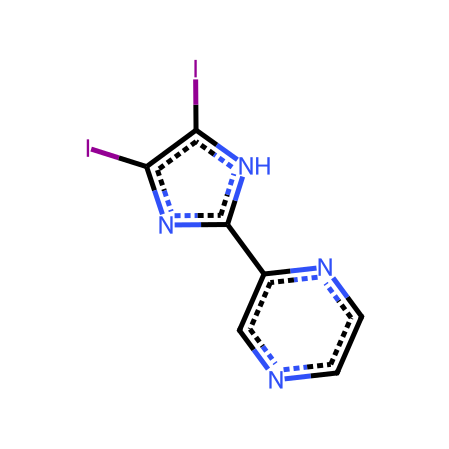 Ic1nc(-c2cnccn2)[nH]c1I